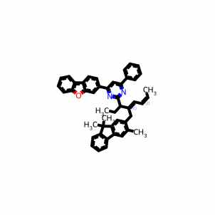 C/C=C\C=C(/Cc1cc2c(cc1C)-c1ccccc1C2(C)C)C(CC)c1nc(-c2ccccc2)cc(-c2ccc3c(c2)oc2ccccc23)n1